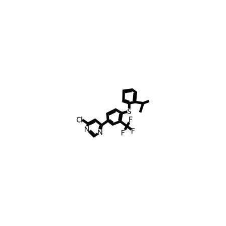 CC(C)c1ccccc1Sc1ccc(-c2cc(Cl)ncn2)cc1C(F)(F)F